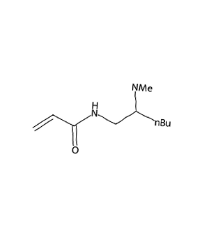 C=CC(=O)NCC(CCCC)NC